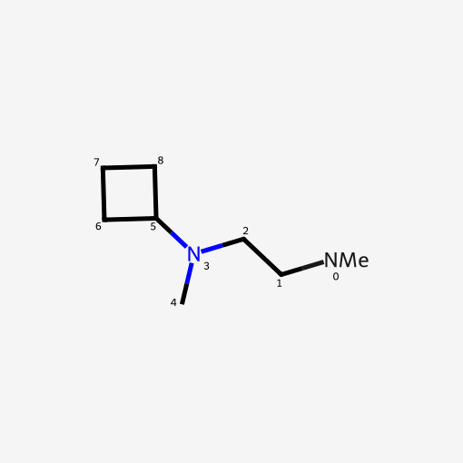 CNCCN(C)C1CCC1